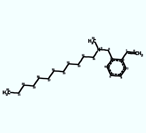 C=Cc1ccccc1CN(C)CCCCCCCCCCCC